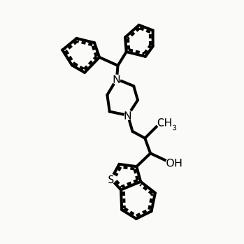 CC(CN1CCN(C(c2ccccc2)c2ccccc2)CC1)C(O)c1csc2ccccc12